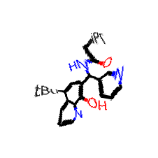 CC(C)CC(=O)NC(c1cccnc1)c1cc(C(C)(C)C)c2cccnc2c1O